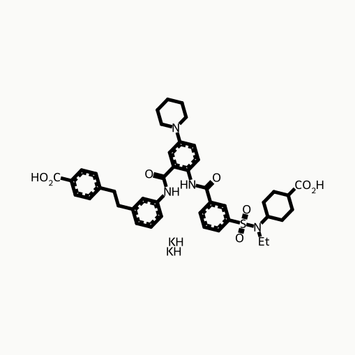 CCN(C1CCC(C(=O)O)CC1)S(=O)(=O)c1cccc(C(=O)Nc2ccc(N3CCCCC3)cc2C(=O)Nc2cccc(CCc3ccc(C(=O)O)cc3)c2)c1.[KH].[KH]